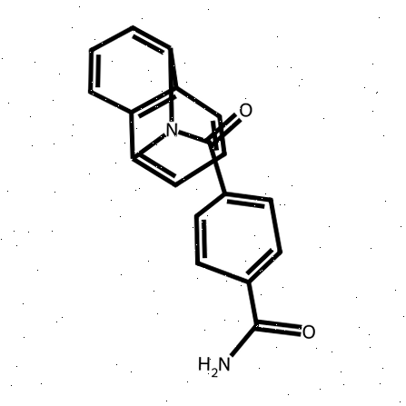 NC(=O)c1ccc(C(=O)n2c3cccc4c3cccc42)cc1